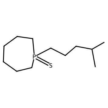 CC(C)CCCP1(=S)CCCCCC1